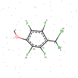 COc1c(F)c(F)c(C(Br)Br)c(F)c1F